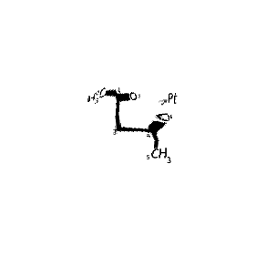 CC(=O)CC(C)=O.[Pt]